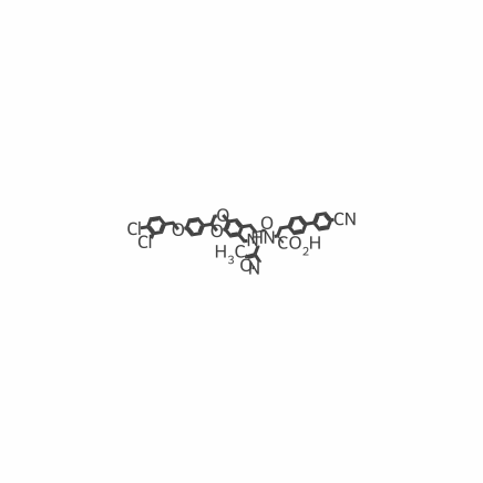 Cc1oncc1CN1Cc2cc3c(cc2C[C@H]1C(=O)N[C@@H](Cc1ccc(-c2ccc(C#N)cc2)cc1)C(=O)O)OCC(c1ccc(OCc2ccc(Cl)c(Cl)c2)cc1)O3